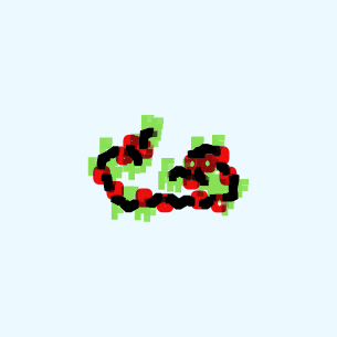 O=C(OCC(F)(F)CC(F)(F)OC(F)COCC(F)(F)CC(F)(F)OC(F)COCCCCOCC(F)OC(F)(F)CC(F)(F)COCC(F)OC(F)(F)CC(F)(F)COC(=O)C(OC(F)(F)CC(F)(F)F)C(F)(F)F)C(OC(F)(F)CC(F)(F)F)C(F)(F)F